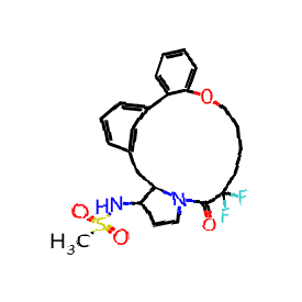 CS(=O)(=O)NC1CCN2C(=O)C(F)(F)CCCCOc3ccccc3-c3cccc(c3)CC12